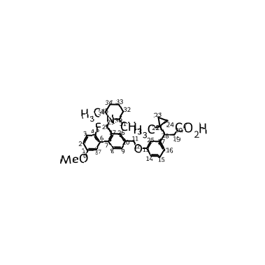 COc1ccc(F)c(-c2ccc(COc3cccc([C@H](CC(=O)O)C4(C)CC4)c3)cc2CN2[C@H](C)CCC[C@H]2C)c1